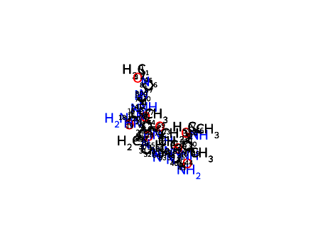 C=CC(=O)N1CCC[C@@H](n2cc(Nc3ncc(C(N)=O)c(Nc4c(CC(=C)C(=O)N5CCC[C@H](n6cc(Nc7ncc(C(N)=O)c(Nc8c(C)cc(C(=O)NC(C)C)cc8OC)n7)cn6)C5)cc(C(=O)NC(C)C)cc4OC)n3)cn2)C1